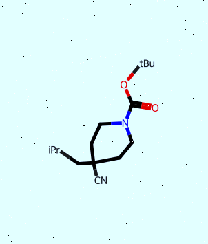 CC(C)CC1(C#N)CCN(C(=O)OC(C)(C)C)CC1